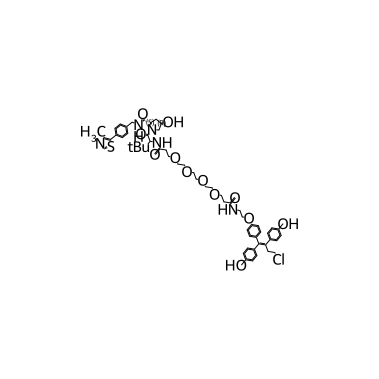 Cc1ncsc1-c1ccc(CNC(=O)[C@@H]2C[C@@H](O)CN2C(=O)C(NC(=O)CCOCCOCCOCCOCCC(=O)NCCOc2ccc(C(=C(CCCl)c3ccc(O)cc3)c3ccc(O)cc3)cc2)C(C)(C)C)cc1